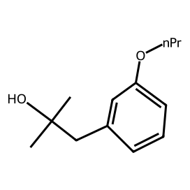 CCCOc1cccc(CC(C)(C)O)c1